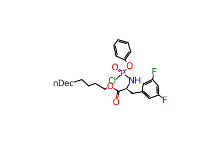 CCCCCCCCCCCCCCOC(=O)[C@H](Cc1cc(F)cc(F)c1)NP(=O)(Cl)Oc1ccccc1